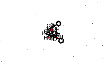 C=C1[C@H]2C(OC(=O)c3ccccc3)[C@@H]3[C@H]4N(C)[C@H]5[C@@H](O)[C@@]3([C@@H]([C@@H]2OC(C)=O)[C@@]42[C@H](OC(C)=O)[C@@H](OC(=O)c3ccccc3)C[C@@](C)(C=O)[C@@H]52)[C@H]1O